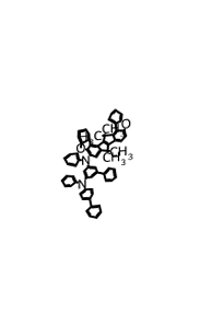 CC1(C)C2=C(c3c1cc(N(c1ccccc1)c1cc(-c4ccccc4)cc(N(c4ccccc4)c4ccc(-c5ccccc5)cc4)c1)c1oc4ccccc4c31)C(C)(C)c1c2ccc2oc3ccccc3c12